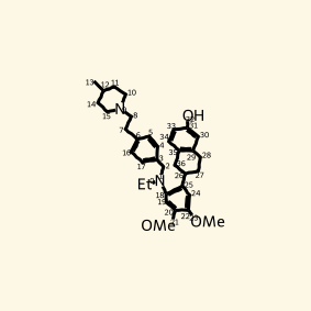 CCN(Cc1ccc(CCN2CCC(C)CC2)cc1)c1cc(OC)c(OC)cc1C1CCc2cc(O)ccc2C1